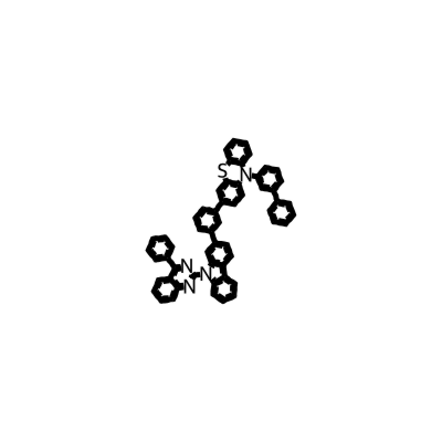 c1ccc(-c2cccc(N3c4ccccc4Sc4cc(-c5cccc(-c6ccc7c8ccccc8n(-c8nc(-c9ccccc9)c9ccccc9n8)c7c6)c5)ccc43)c2)cc1